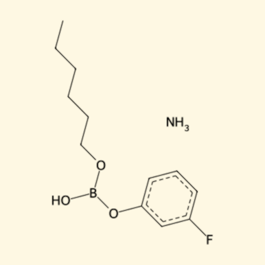 CCCCCCOB(O)Oc1cccc(F)c1.N